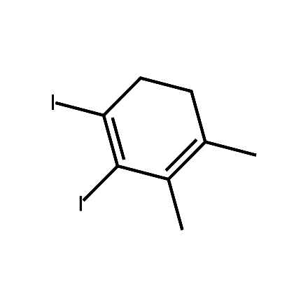 CC1=C(C)C(I)=C(I)CC1